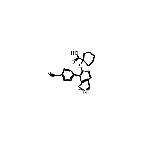 N#Cc1ccc(-c2c(SC3(C(=O)O)CCCCC3)ccc3cnsc23)cc1